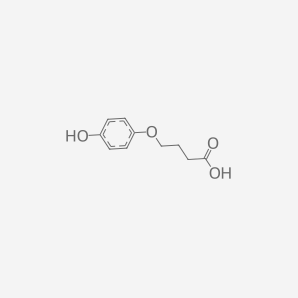 O=C(O)CCCOc1ccc(O)cc1